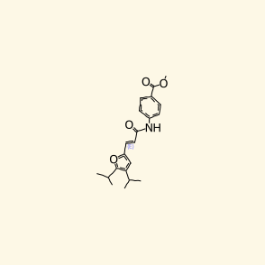 COC(=O)c1ccc(NC(=O)/C=C/c2cc(C(C)C)c(C(C)C)o2)cc1